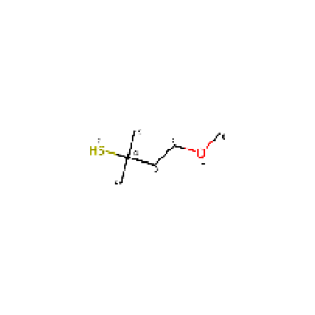 COCCC(C)(C)S